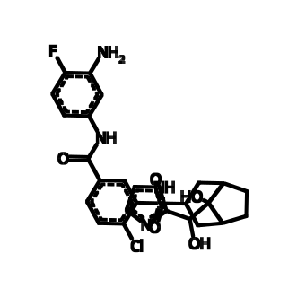 Nc1cc(NC(=O)c2ccc(Cl)c(S(=O)(=O)C3CC4CCC(C3)C4(O)C(O)c3ncc[nH]3)c2)ccc1F